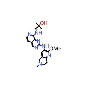 COc1nc2c(cc1Nc1ncc3ccnc(NCC(C)(C)O)c3n1)CN(C)CC2